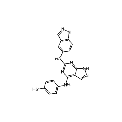 Sc1ccc(Nc2nc(Nc3ccc4[nH]ncc4c3)nc3[nH]ncc23)cc1